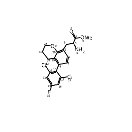 COC(=O)[C@@H](N)Cc1ccc(-c2c(Cl)cc(F)cc2Cl)c2c1OCCC2